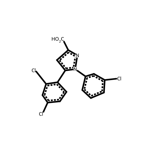 O=C(O)c1cc(-c2ccc(Cl)cc2Cl)n(-c2cccc(Cl)c2)n1